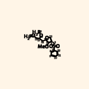 CO[C@@H]1[C@@H](CS(=O)(=O)c2ccccc2)CO[C@@H]1C[C@@H](COP)OP